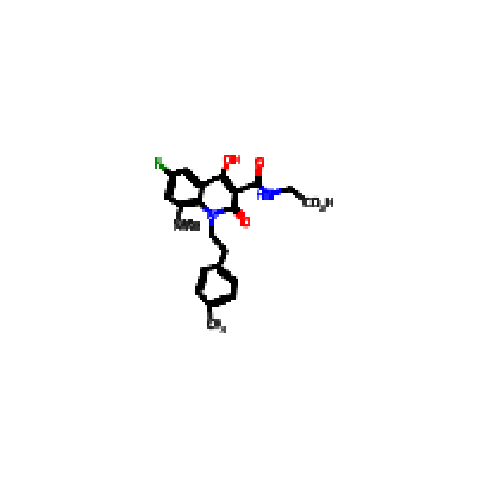 CNc1cc(F)cc2c(O)c(C(=O)NCC(=O)O)c(=O)n(CCc3ccc(C(F)(F)F)cc3)c12